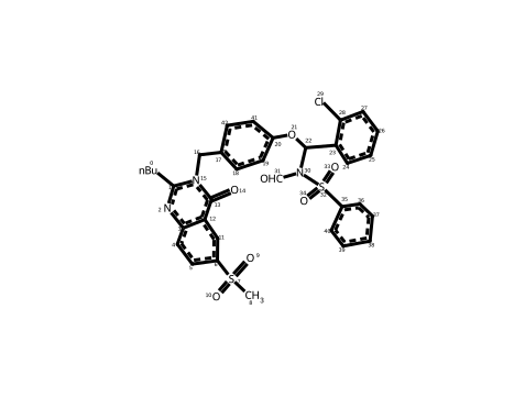 CCCCc1nc2ccc(S(C)(=O)=O)cc2c(=O)n1Cc1ccc(OC(c2ccccc2Cl)N(C=O)S(=O)(=O)c2ccccc2)cc1